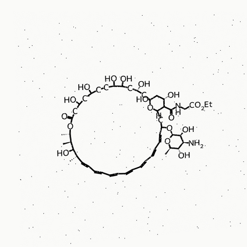 CCOC(=O)CNC(=O)C1[C@@H]2CC(O[C@@H]3O[C@H](C)[C@@H](O)[C@H](N)[C@@H]3O)/C=C/C=C/C=C/C=C/C=C/C=C/C=C/[C@H](C)C(O)[C@@H](C)[C@H](C)OC(=O)CC(O)CC(O)CCC(O)C(O)C[C@H](O)CC(O)(C[C@@H]1O)O2